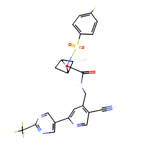 N#Cc1cnc(-c2cnc(C(F)(F)F)nc2)cc1CNC(=O)[C@@H]1C2CC(C2)N1S(=O)(=O)c1ccc(F)cc1